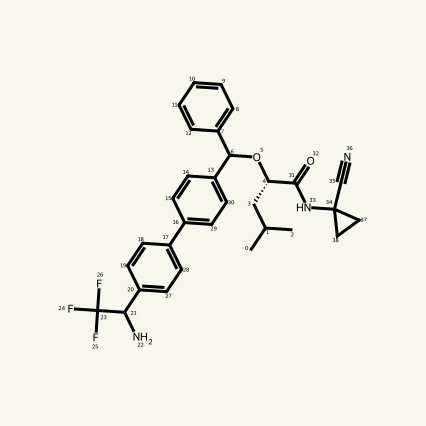 CC(C)C[C@H](OC(c1ccccc1)c1ccc(-c2ccc(C(N)C(F)(F)F)cc2)cc1)C(=O)NC1(C#N)CC1